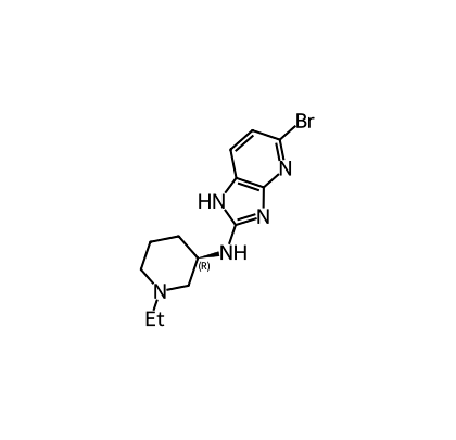 CCN1CCC[C@@H](Nc2nc3nc(Br)ccc3[nH]2)C1